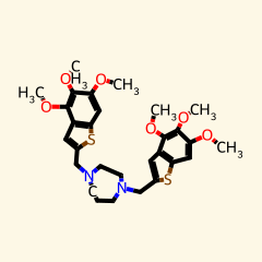 COc1cc2sc(CN3CCCN(Cc4cc5c(OC)c(OC)c(OC)cc5s4)CC3)cc2c(OC)c1OC